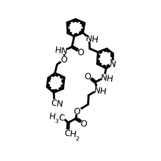 C=C(C)C(=O)OCCNC(=O)Nc1cc(CNc2ccccc2C(=O)NOCc2ccc(C#N)cc2)ccn1